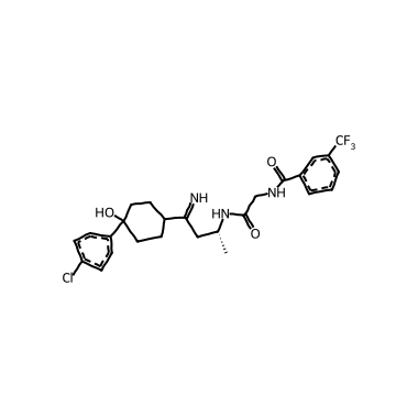 C[C@H](CC(=N)C1CCC(O)(c2ccc(Cl)cc2)CC1)NC(=O)CNC(=O)c1cccc(C(F)(F)F)c1